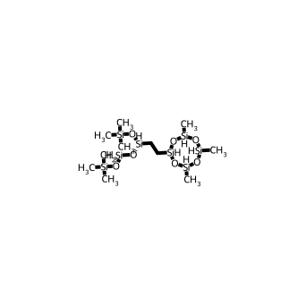 C[SiH]1O[SiH](C)O[SiH](CC[SiH](O[SiH2]O[Si](C)(C)C)O[Si](C)(C)C)O[SiH](C)O1